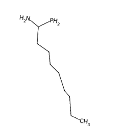 CCCCCCCCC(N)P